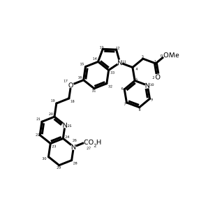 COC(=O)CC(c1ccccn1)n1ccc2cc(OCCc3ccc4c(n3)N(C(=O)O)CCC4)ccc21